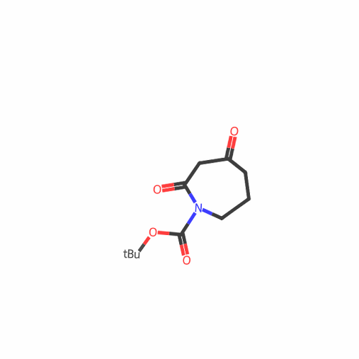 CC(C)(C)OC(=O)N1CCCC(=O)CC1=O